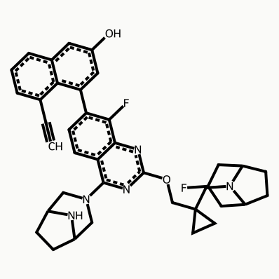 C#Cc1cccc2cc(O)cc(-c3ccc4c(N5CC6CCC(C5)N6)nc(OCC5(CN6C7CCC6CC(F)C7)CC5)nc4c3F)c12